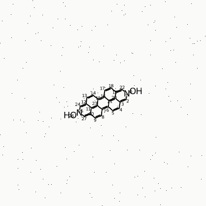 ON1C=c2ccc3c4ccc5c6c(ccc(c7ccc(c2c37)=C1)c64)=CN(O)C=5